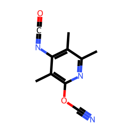 Cc1nc(OC#N)c(C)c(N=C=O)c1C